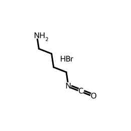 Br.NCCCCN=C=O